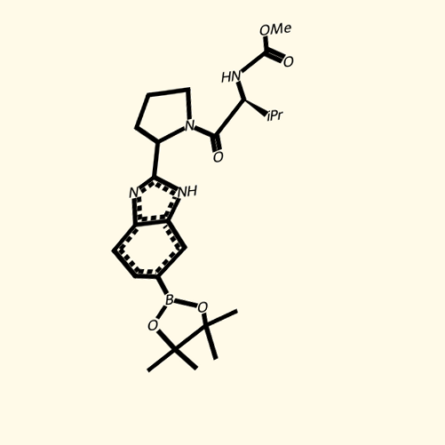 COC(=O)N[C@H](C(=O)N1CCCC1c1nc2ccc(B3OC(C)(C)C(C)(C)O3)cc2[nH]1)C(C)C